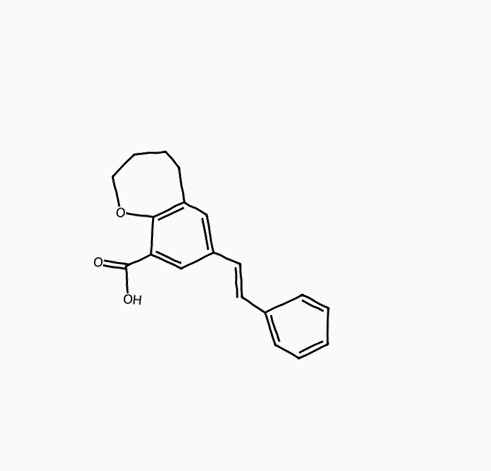 O=C(O)c1cc(C=Cc2ccccc2)cc2c1OCCCC2